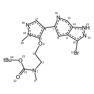 CN(CCOc1c(-c2cc3c(Br)n[nH]c3cn2)cnn1C)C(=O)OC(C)(C)C